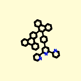 c1ccc(-c2cc(-c3ccc(-c4c(-c5ccc6c7ccccc7c7ccccc7c6c5)c5ccccc5c5ccccc45)cc3)cc(-c3ccccn3)n2)nc1